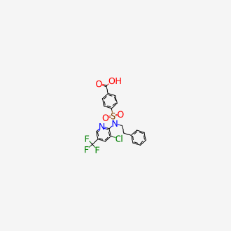 O=C(O)c1ccc(S(=O)(=O)N(CCc2ccccc2)c2ncc(C(F)(F)F)cc2Cl)cc1